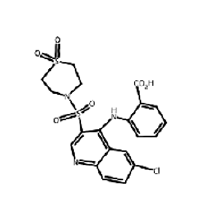 O=C(O)c1ccccc1Nc1c(S(=O)(=O)N2CCS(=O)(=O)CC2)cnc2ccc(Cl)cc12